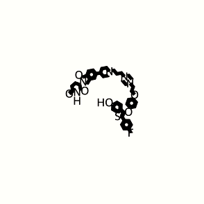 O=C1CCC(N2Cc3cc(C4CCN(CCCN5CCN(CCOc6ccc(Oc7c(-c8ccc(F)cc8)sc8cc(O)ccc78)cc6)CC5)CC4)ccc3C2=O)C(=O)N1